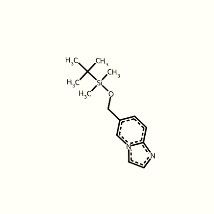 CC(C)(C)[Si](C)(C)OCc1ccc2nccn2c1